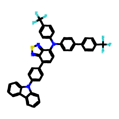 FC(F)(F)c1ccc(-c2ccc(N(c3ccc(C(F)(F)F)cc3)c3ccc(-c4ccc(-n5c6ccccc6c6ccccc65)cc4)c4nsnc34)cc2)cc1